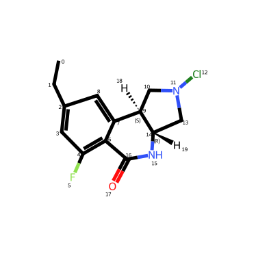 CCc1cc(F)c2c(c1)[C@H]1CN(Cl)C[C@@H]1NC2=O